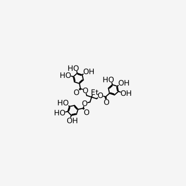 CCC(COC(=O)c1cc(O)c(O)c(O)c1)(COC(=O)c1cc(O)c(O)c(O)c1)COC(=O)c1cc(O)c(O)c(O)c1